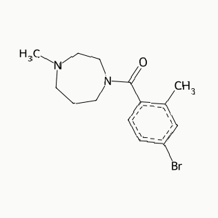 Cc1cc(Br)ccc1C(=O)N1CCCN(C)CC1